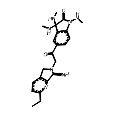 CCc1ccc2c(n1)C(=N)N(CC(=O)c1ccc3c(c1)C(NC)(NC)C(=O)N3NC)C2